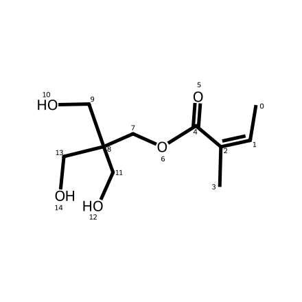 CC=C(C)C(=O)OCC(CO)(CO)CO